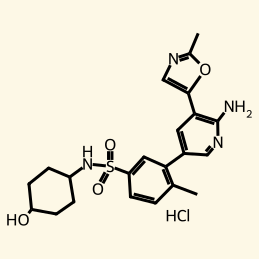 Cc1ncc(-c2cc(-c3cc(S(=O)(=O)NC4CCC(O)CC4)ccc3C)cnc2N)o1.Cl